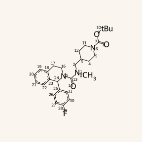 CN(CC1CCN(C(=O)OC(C)(C)C)CC1)C(=O)N1CCc2ccccc2C1c1ccc(F)cc1